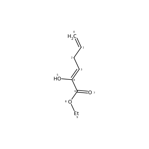 C=CCC=C(O)C(=O)OCC